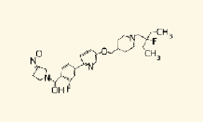 CCC(F)(CC)CN1CCC(COc2ccc(-c3ccc(C(O)N4CC[C@H](N=O)C4)c(F)c3)nc2)CC1